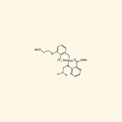 COCCOc1cccc(CS(=O)(=O)N(CC(F)F)c2nccnc2C(=O)OC)c1C(F)(F)F